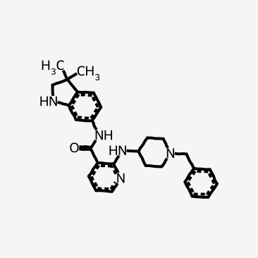 CC1(C)CNc2cc(NC(=O)c3cccnc3NC3CCN(Cc4ccccc4)CC3)ccc21